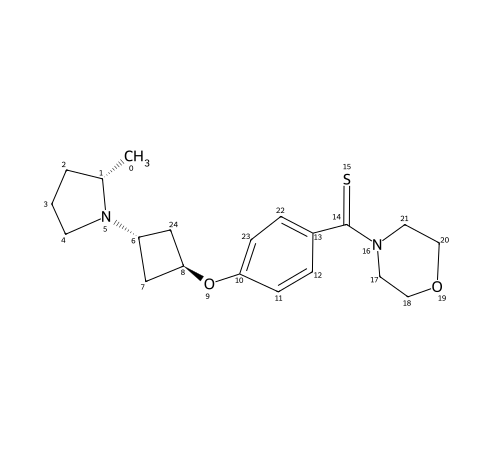 C[C@H]1CCCN1[C@H]1C[C@H](Oc2ccc(C(=S)N3CCOCC3)cc2)C1